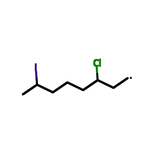 [CH2]CC(Cl)CCCC(C)I